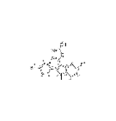 Oc1nnc(-c2c(-c3ccc(Br)cc3)[nH]c3ccc(F)cc23)o1